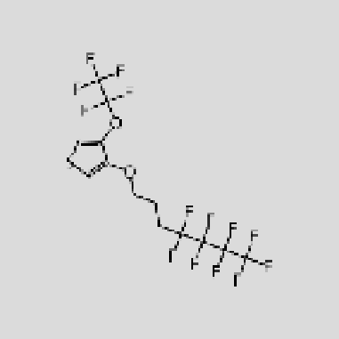 FC(F)(F)C(F)(F)Oc1cscc1OCCCC(F)(F)C(F)(F)C(F)(F)C(F)(F)F